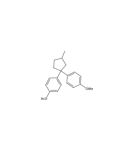 COc1ccc(C2(c3ccc(OC(C)=O)cc3)CCC(C)C2)cc1